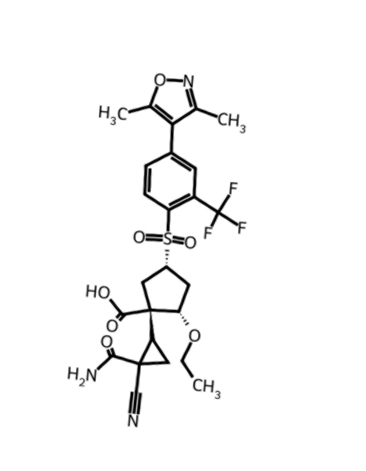 CCO[C@H]1C[C@@H](S(=O)(=O)c2ccc(-c3c(C)noc3C)cc2C(F)(F)F)C[C@]1(C(=O)O)C1CC1(C#N)C(N)=O